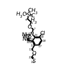 C[Si](C)(C)CCOCn1ncc2c(COC=S)ccc(Cl)c21.NN